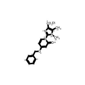 CCOC(=O)c1nc(-n2ccc(OCc3ccccc3)cc2=O)n(C)c1C